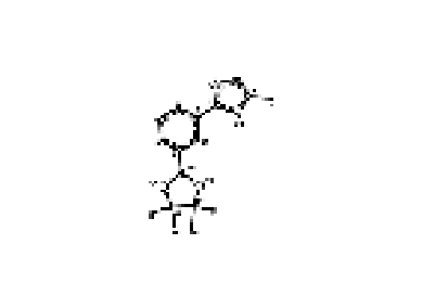 Cc1cnc(-c2cccc(B3OC(C)(C)C(C)(C)O3)c2)s1